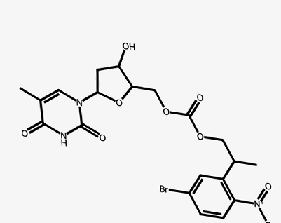 Cc1cn(C2CC(O)C(COC(=O)OCC(C)c3cc(Br)ccc3[N+](=O)[O-])O2)c(=O)[nH]c1=O